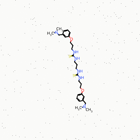 CN(C)Cc1cccc(OCCCNC(=S)NCCCNC(=S)NCCCOc2cccc(CN(C)C)c2)c1